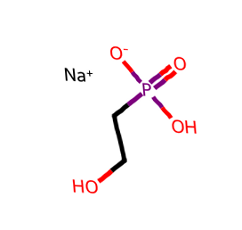 O=P([O-])(O)CCO.[Na+]